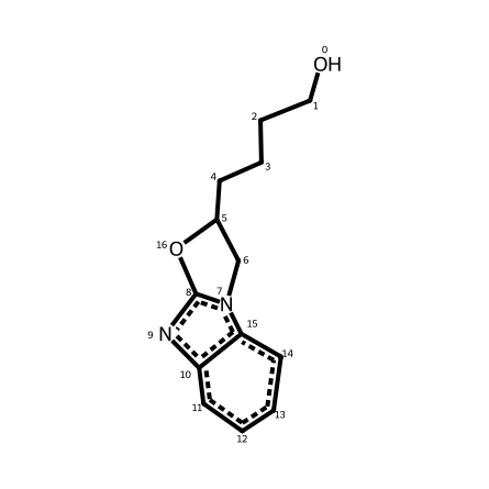 OCCCCC1Cn2c(nc3ccccc32)O1